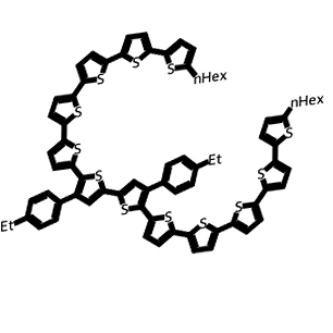 CCCCCCc1ccc(-c2ccc(-c3ccc(-c4ccc(-c5ccc(-c6sc(-c7cc(-c8ccc(CC)cc8)c(-c8ccc(-c9ccc(-c%10ccc(-c%11ccc(-c%12ccc(CCCCCC)s%12)s%11)s%10)s9)s8)s7)cc6-c6ccc(CC)cc6)s5)s4)s3)s2)s1